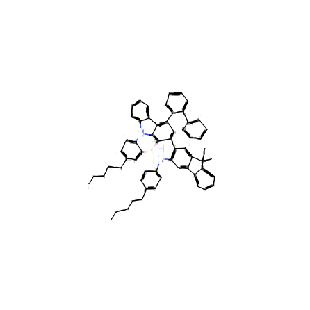 CCCCCc1ccc(Nc2cc3c(cc2-c2cc(-c4ccccc4-c4ccccc4)c4c5ccccc5n5c4c2Bc2cc(CCCCC)ccc2-5)C(C)(C)c2ccccc2-3)cc1